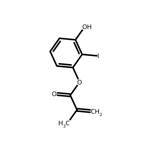 C=C(C)C(=O)Oc1cccc(O)c1I